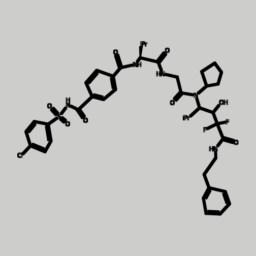 CC(C)C(C(O)C(F)(F)C(=O)NCCc1ccccc1)N(C(=O)CNC(=O)[C@@H](NC(=O)c1ccc(C(=O)NS(=O)(=O)c2ccc(Cl)cc2)cc1)C(C)C)C1CCCC1